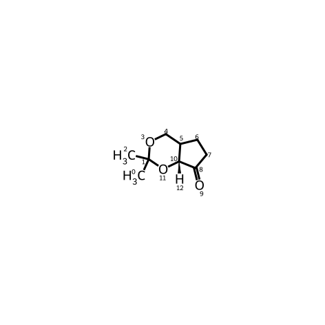 CC1(C)OCC2CCC(=O)[C@@H]2O1